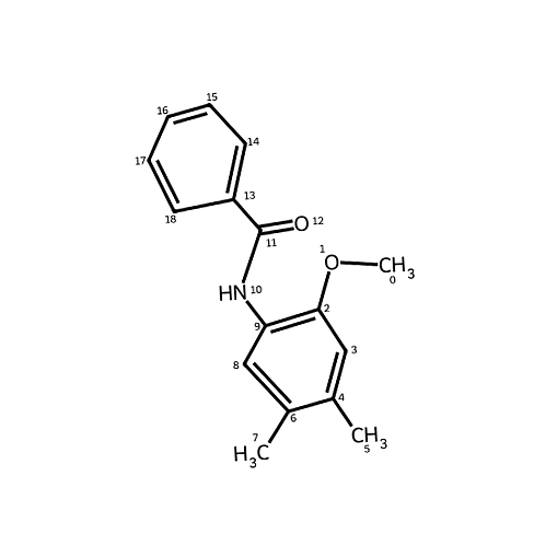 COc1cc(C)c(C)cc1NC(=O)c1ccccc1